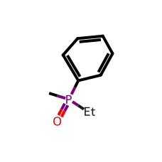 CCP(C)(=O)c1ccccc1